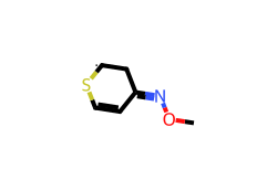 CON=C1C=CS[CH]C1